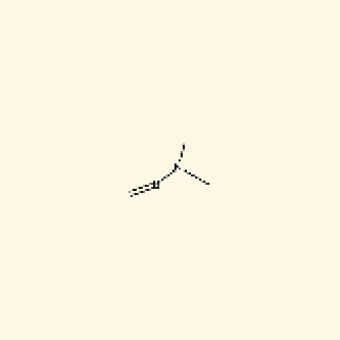 C=BN(C)C